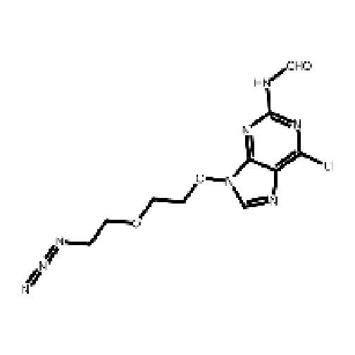 [N-]=[N+]=NCCOCCOn1cnc2c(Cl)nc(NC=O)nc21